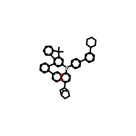 CC1(C)c2ccccc2-c2c(-c3ccccc3-c3ccccc3)cc(N(c3ccc(-c4cccc(C5CCCCC5)c4)cc3)c3ccc(C4CC5CCC4C5)cc3)cc21